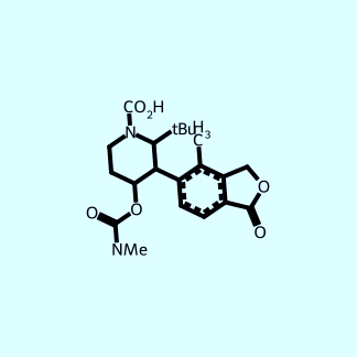 CNC(=O)OC1CCN(C(=O)O)C(C(C)(C)C)C1c1ccc2c(c1C)COC2=O